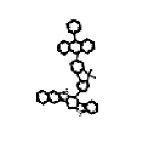 CC1(C)c2ccc(-c3c4sc5cc6ccccc6cc5c4cc4sc5ccccc5c34)cc2-c2ccc(-c3c4ccccc4c(-c4ccccc4)c4ccccc34)cc21